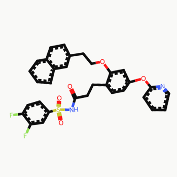 O=C(CCc1ccc(Oc2ccccn2)cc1OCCc1ccc2ccccc2c1)NS(=O)(=O)c1ccc(F)c(F)c1